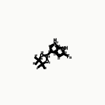 CC1(C)OB(c2c[nH]c3[nH]c(F)cc23)OC1(C)C